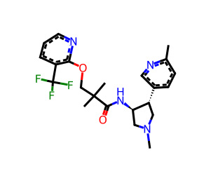 Cc1ccc([C@@H]2CN(C)C[C@H]2NC(=O)C(C)(C)COc2ncccc2C(F)(F)F)cn1